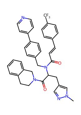 Cn1cc(CC(C(=O)N2CCc3ccccc3C2)N(Cc2ccc(-c3ccncc3)cc2)C(=O)C=Cc2ccc(C(F)(F)F)cc2)cn1